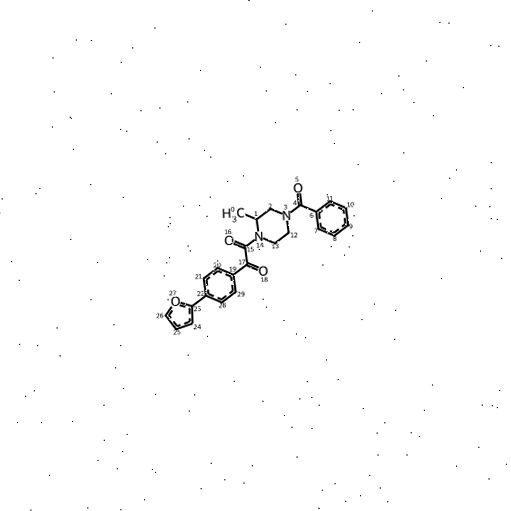 CC1CN(C(=O)c2ccccc2)CCN1C(=O)C(=O)c1ccc(-c2ccco2)cc1